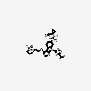 N#CC1(NS(=O)(=O)c2ccc3c4c(OCCN5CCCS5(=O)=O)ncnc4n(-c4nnc(C(F)F)s4)c3c2)CC1